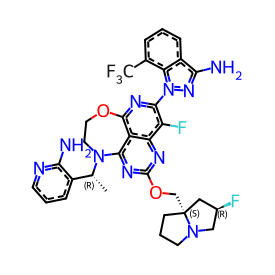 C[C@H](c1cccnc1N)N1CCOc2nc(-n3nc(N)c4cccc(C(F)(F)F)c43)c(F)c3nc(OC[C@@]45CCCN4C[C@H](F)C5)nc1c23